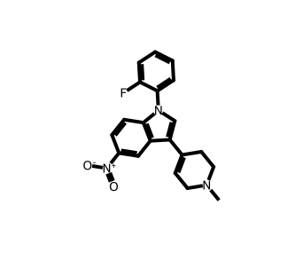 CN1CC=C(c2cn(-c3ccccc3F)c3ccc([N+](=O)[O-])cc23)CC1